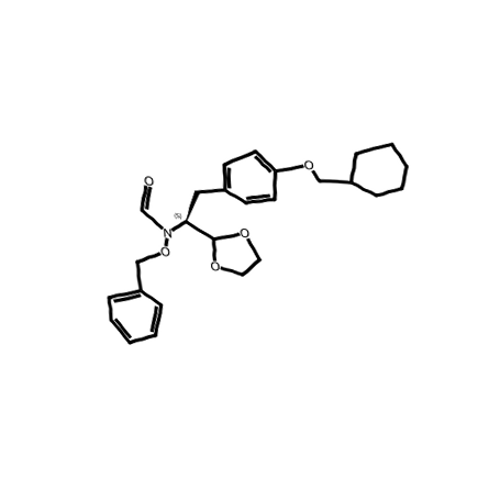 O=CN(OCc1ccccc1)[C@@H](Cc1ccc(OCC2CCCCC2)cc1)C1OCCO1